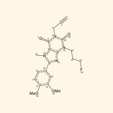 C#CCn1c(=O)c2c(nc(-c3ccc(OC)c(OC)c3)n2C)n(CCCF)c1=O